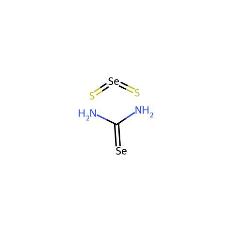 NC(N)=[Se].S=[Se]=S